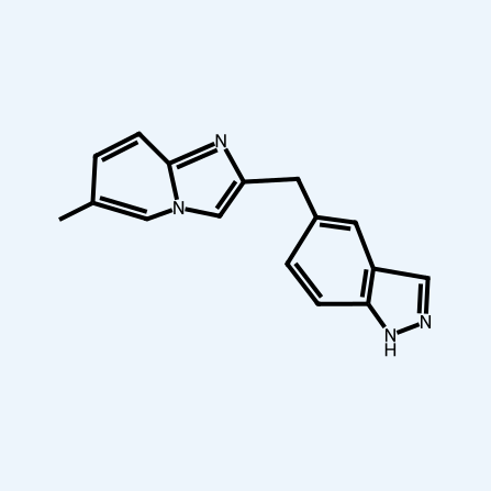 Cc1ccc2nc(Cc3ccc4[nH]ncc4c3)cn2c1